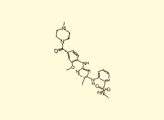 CNS(=O)(=O)c1ccccc1Nc1nc(Nc2ccc(C(=O)N3CCN(C)CC3)cc2OC)ncc1I